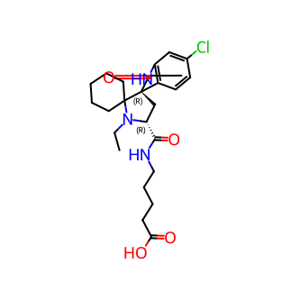 CCN1[C@@H](C(=O)NCCCCC(=O)O)C[C@]2(C(=O)Nc3cc(Cl)ccc32)C12CCCCC2